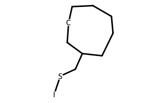 ISCC1CCCCCCC1